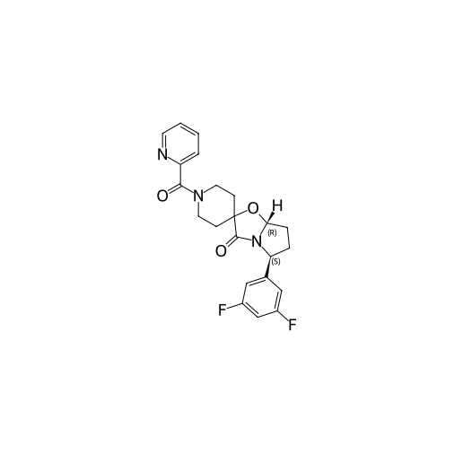 O=C(c1ccccn1)N1CCC2(CC1)O[C@@H]1CC[C@@H](c3cc(F)cc(F)c3)N1C2=O